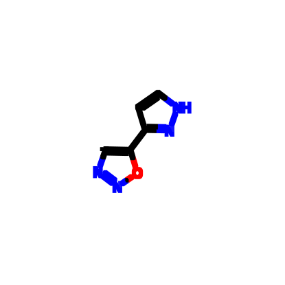 [c]1nnoc1-c1cc[nH]n1